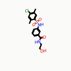 Cc1cc(S(=O)(=O)Nc2cccc(C(=O)NCCO)c2)c(C)cc1Cl